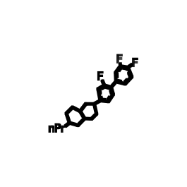 CCCC1CCC2CC(c3ccc(-c4ccc(F)c(F)c4)c(F)c3)CCC2C1